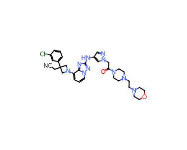 N#CCC1(c2cccc(Cl)c2)CN(c2cccn3nc(Nc4cnn(CC(=O)N5CCN(CCN6CCOCC6)CC5)c4)nc23)C1